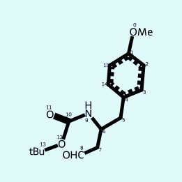 COc1ccc(CC(CC=O)NC(=O)OC(C)(C)C)cc1